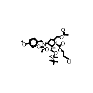 COc1ccc(CN([C@H]2CC(COC(C)=O)N(C(=O)OCCCCl)[C@H]2CO[Si](C)(C)C(C)(C)C)S(C)(=O)=O)cc1